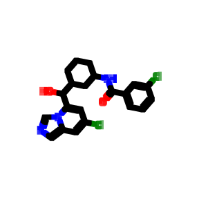 O=C(NC1CCCC(C(O)c2cc(Cl)cc3cncn23)C1)c1cccc(Cl)c1